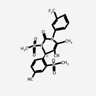 CC1=C(C#N)[C@@H](c2ccc(C#N)cc2S(C)(=O)=O)N(S(C)(=O)=O)C(=O)N1c1cccc(C(F)(F)F)c1